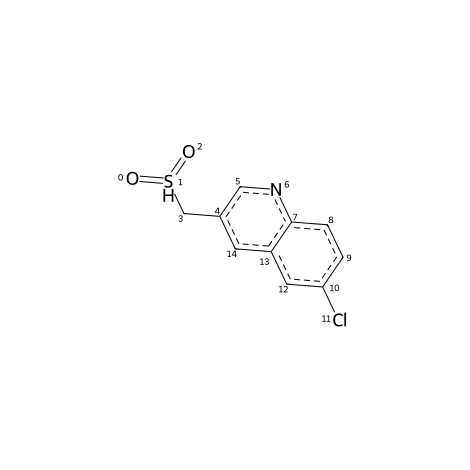 O=[SH](=O)Cc1cnc2ccc(Cl)cc2c1